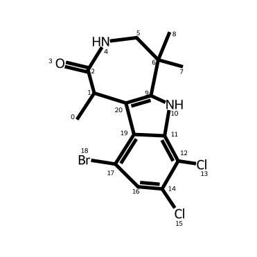 CC1C(=O)NCC(C)(C)c2[nH]c3c(Cl)c(Cl)cc(Br)c3c21